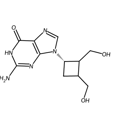 Nc1nc2c(ncn2[C@H]2CC(CO)C2CO)c(=O)[nH]1